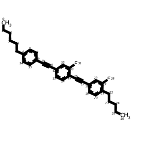 CCCCCCc1ccc(C#Cc2ccc(C#Cc3ccc(CCCCC)c(F)c3)c(F)c2)cc1